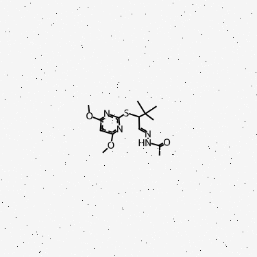 COc1cc(OC)nc(SC(C=NNC(C)=O)C(C)(C)C)n1